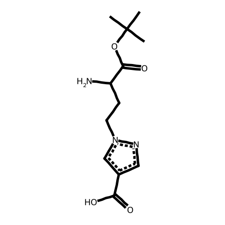 CC(C)(C)OC(=O)C(N)CCn1cc(C(=O)O)cn1